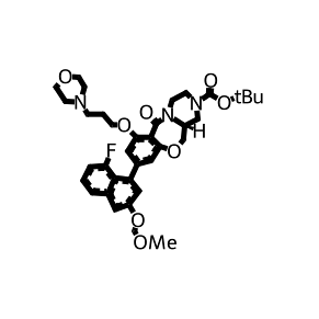 COCOc1cc(-c2cc(OCCCN3CCOCC3)c3c(c2)OC[C@H]2CN(C(=O)OC(C)(C)C)CCN2C3=O)c2c(F)cccc2c1